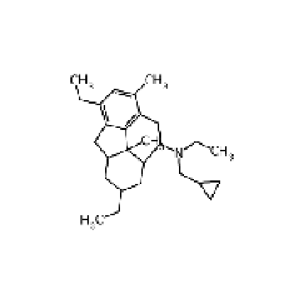 CCc1cc(C)c2c3c1CC1CC(CC)CC(C(N(CC)CC4CC4)C2)C31C